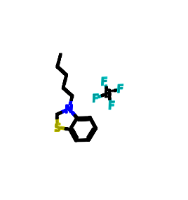 CCCCCN1CSc2ccccc21.F[B-](F)(F)F